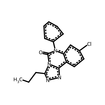 CCCc1nnc2c3ccc(Cl)cc3n(-c3ccccc3)c(=O)n12